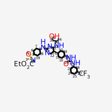 CCOC(=O)N=S(C)(=O)c1ccc(Nc2ncc(-c3ccc(NC(=O)Nc4cccc(C(F)(F)F)c4)cc3)c(N[C@H](C)CO)n2)cc1